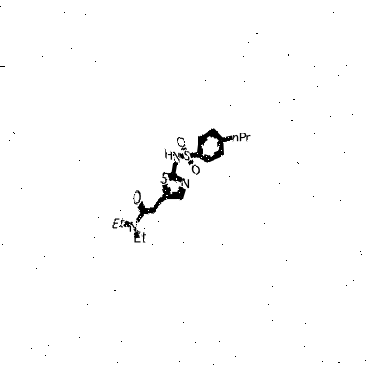 CCCc1ccc(S(=O)(=O)Nc2ncc(CC(=O)N(CC)CC)s2)cc1